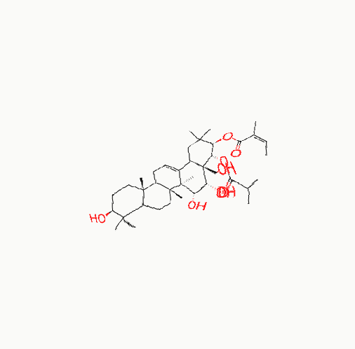 C/C=C(/C)C(=O)O[C@H]1[C@H](OC(=O)C(C)C)[C@@]2(CO)C(CC1(C)C)C1=CCC3[C@@]4(C)CC[C@H](O)C(C)(C)C4CC[C@@]3(C)[C@]1(C)[C@@H](O)[C@H]2O